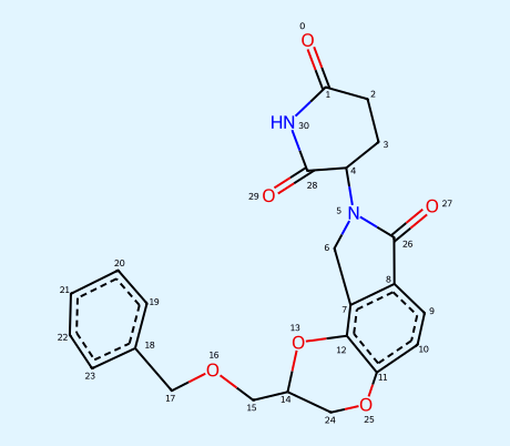 O=C1CCC(N2Cc3c(ccc4c3OC(COCc3ccccc3)CO4)C2=O)C(=O)N1